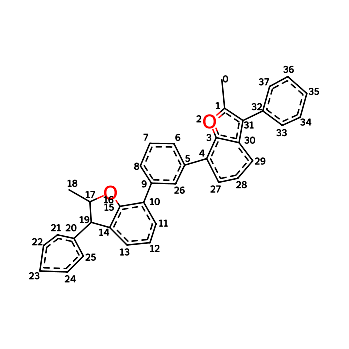 Cc1oc2c(-c3cccc(-c4cccc5c4OC(C)C5c4ccccc4)c3)cccc2c1-c1ccccc1